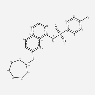 Cc1ccc(S(=O)(=O)Nc2cccc3ccc(CN4CCCCCC4)nc23)cc1